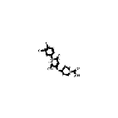 O=C(O)N1CCC(Oc2cc(=O)n(-c3ccc(Cl)c(Cl)c3)nc2Cl)CC1